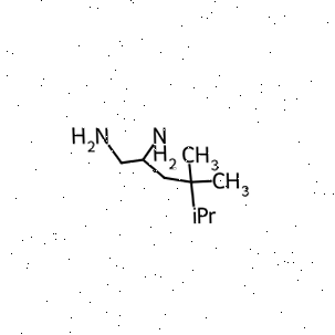 CC(C)C(C)(C)CC(N)CN